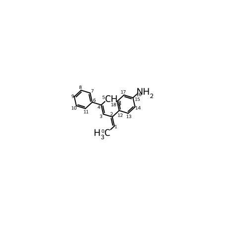 C/C=C(\C=C(/C)c1ccccc1)c1ccc(N)cc1